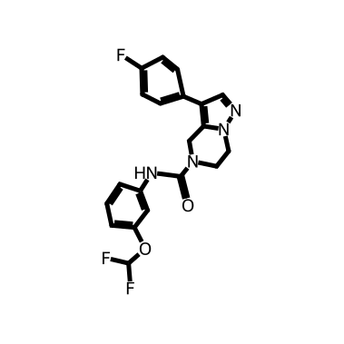 O=C(Nc1cccc(OC(F)F)c1)N1CCn2ncc(-c3ccc(F)cc3)c2C1